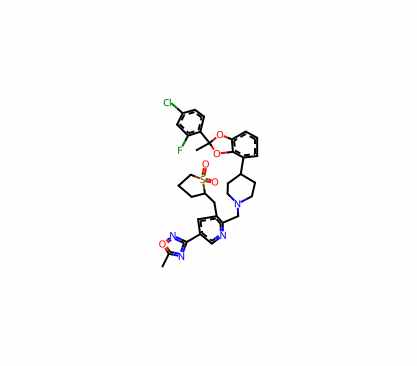 Cc1nc(-c2cnc(CN3CCC(c4cccc5c4OC(C)(c4ccc(Cl)cc4F)O5)CC3)c(CC3CCCS3(=O)=O)c2)no1